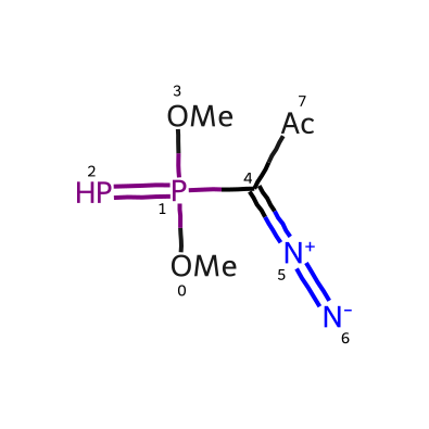 COP(=P)(OC)C(=[N+]=[N-])C(C)=O